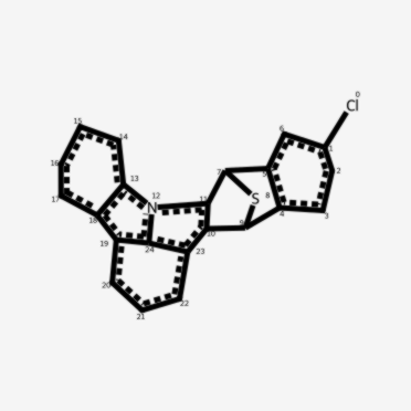 Clc1ccc2c(c1)C1SC2c2c1n1c3ccccc3c3cccc2c31